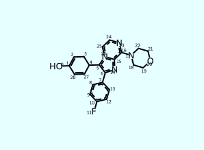 OC1=CCC(c2c(-c3ccc(F)cc3)nc3c(N4CCOCC4)nccn23)C=C1